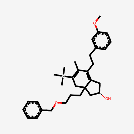 COc1cccc(CCC2=C3C[C@H](O)CC3(CCCOCc3ccccc3)CC([Si](C)(C)C)=C2C)c1